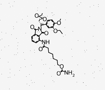 CCOc1cc([C@@H](CS(C)(=O)=O)N2C(=O)c3cccc(NC(=O)CCCCCCOC(N)=O)c3C2=O)ccc1OC